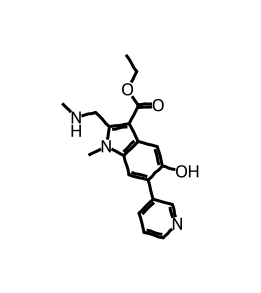 CCOC(=O)c1c(CNC)n(C)c2cc(-c3cccnc3)c(O)cc12